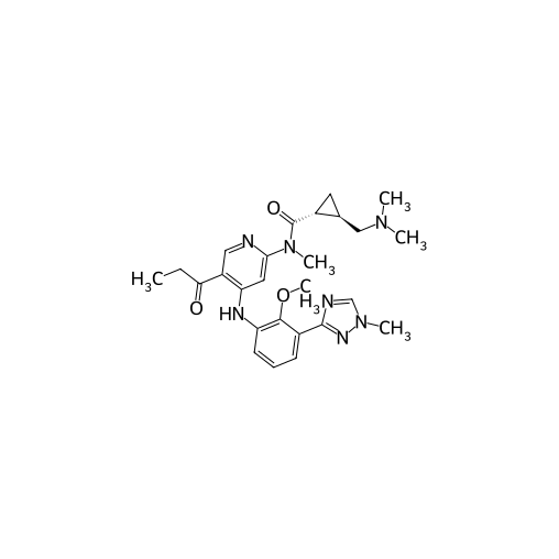 CCC(=O)c1cnc(N(C)C(=O)[C@@H]2C[C@H]2CN(C)C)cc1Nc1cccc(-c2ncn(C)n2)c1OC